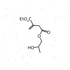 C=C(CC(=O)OCC(C)O)C(=O)OCC